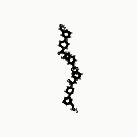 NCc1cccc(C2CCN(C(=O)Cc3ccc4c(c3)OB(c3ccc5cc(C(=O)N6CCC(c7cccc(CN)c7)CC6)[nH]c5c3)O4)CC2)c1